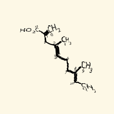 C=C(C/C(C)=C/CC/C(C)=C/C)C(=O)O